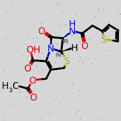 CC(=O)OCC1=C(C(=O)O)N2C(=O)[C@@H](NC(=O)Cc3cccs3)[C@@H]2SC1